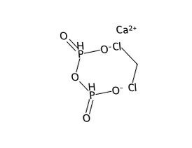 ClCCl.O=[PH]([O-])O[PH](=O)[O-].[Ca+2]